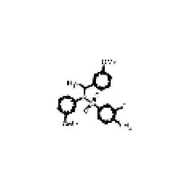 COc1cccc(C(C)N(c2cccc(OC)c2)S(=O)(=O)c2ccc(C)c(F)c2)c1